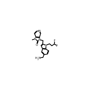 Cn1c(=O)n(Cc2cc3cc(CN)ccc3n2CCC(F)F)c2cnccc21